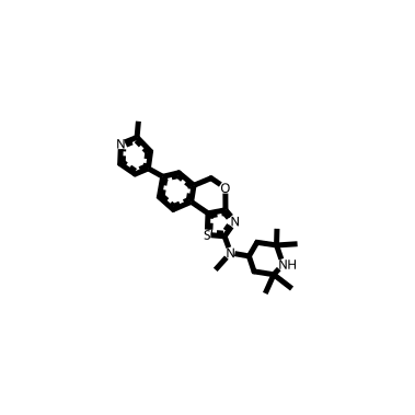 Cc1cc(-c2ccc3c(c2)COc2nc(N(C)C4CC(C)(C)NC(C)(C)C4)sc2-3)ccn1